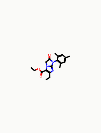 CCOC(=O)c1c(CC)nc2n1CC(=O)N2c1c(C)cc(C)cc1C